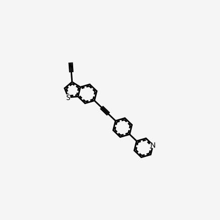 C#Cc1csc2cc(C#Cc3ccc(-c4cccnc4)cc3)ccc12